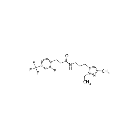 CCn1nc(C)cc1CCCNC(=O)CCc1ccc(C(F)(F)F)cc1F